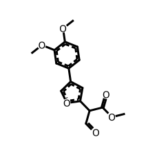 COC(=O)C(C=O)c1cc(-c2ccc(OC)c(OC)c2)co1